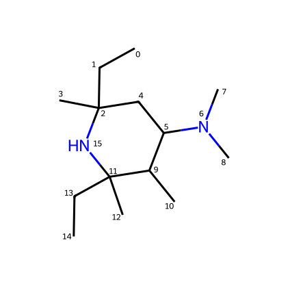 CCC1(C)CC(N(C)C)C(C)C(C)(CC)N1